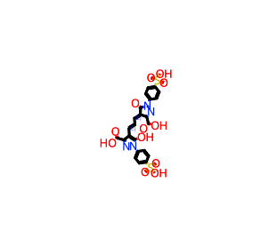 O=C(O)C1=NN(c2ccc(S(=O)(=O)O)cc2)C(=O)/C1=C/C=C/c1c(C(=O)O)nn(-c2ccc(S(=O)(=O)O)cc2)c1O